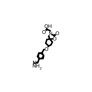 NN=Cc1ccc(COC2CCC3(CC2)CN(CC(=O)O)C(=O)O3)cc1